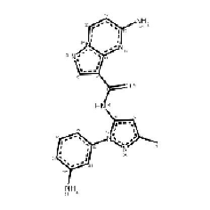 Cc1cc(NC(=O)c2cnn3ccc(N)nc23)n(-c2cccc(N)c2)n1